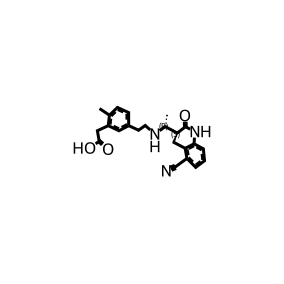 Cc1ccc(CCN[C@H](C)[C@@H]2Cc3c(C#N)cccc3NC2=O)cc1CC(=O)O